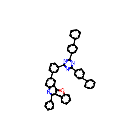 c1ccc(-c2ccc(-c3nc(-c4ccc(-c5ccccc5)cc4)nc(-c4cccc(-c5ccc6nc(-c7ccccc7)c7c8ccccc8oc7c6c5)c4)n3)cc2)cc1